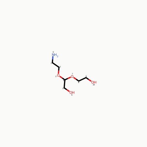 NCCOC(CO)OCCO